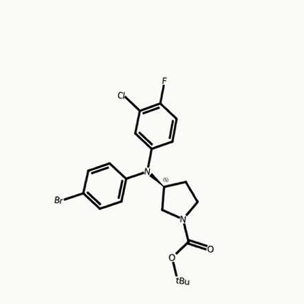 CC(C)(C)OC(=O)N1CC[C@H](N(c2ccc(Br)cc2)c2ccc(F)c(Cl)c2)C1